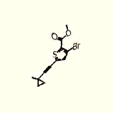 COC(=O)c1sc(C#CC2(C)CC2)cc1Br